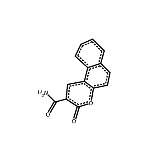 NC(=O)c1cc2c(ccc3ccccc32)oc1=O